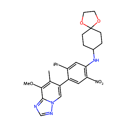 COc1c(C)c(-c2cc([N+](=O)[O-])c(NC3CCC4(CC3)OCCO4)cc2C(C)C)cn2ncnc12